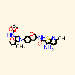 Cc1ccc2c(N)c(C(=O)N[C@H]3COc4cc(N5CC(NC(=O)OC(C)(C)C)C6(C5)OCCC6C)ccc4C3)sc2n1